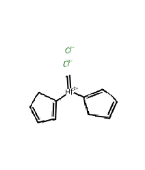 [CH2]=[Hf+2]([C]1=CC=CC1)[C]1=CC=CC1.[Cl-].[Cl-]